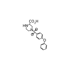 O=C(O)C1CN(S(=O)(=O)c2ccc(Oc3ccccc3)cc2)CCN1